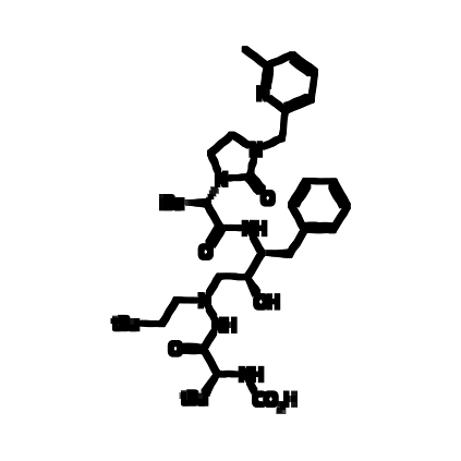 CC[C@H](C)[C@@H](C(=O)N[C@@H](Cc1ccccc1)[C@@H](O)CN(CCC(C)(C)C)NC(=O)[C@@H](NC(=O)O)C(C)(C)C)N1CCN(Cc2cccc(C)n2)C1=O